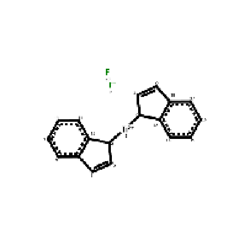 C1=C[CH]([Ti+2][CH]2C=Cc3ccccc32)c2ccccc21.[F-].[F-]